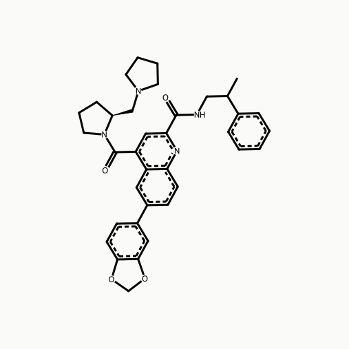 CC(CNC(=O)c1cc(C(=O)N2CCC[C@H]2CN2CCCC2)c2cc(-c3ccc4c(c3)OCO4)ccc2n1)c1ccccc1